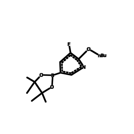 CCCCOc1ncc(B2OC(C)(C)C(C)(C)O2)cc1F